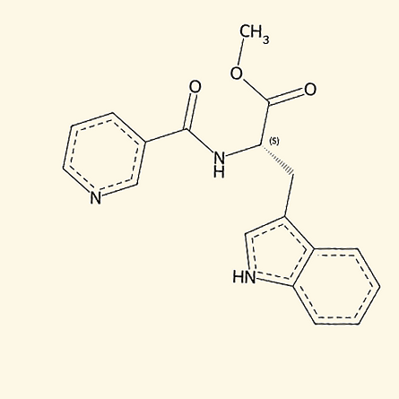 COC(=O)[C@H](Cc1c[nH]c2ccccc12)NC(=O)c1cccnc1